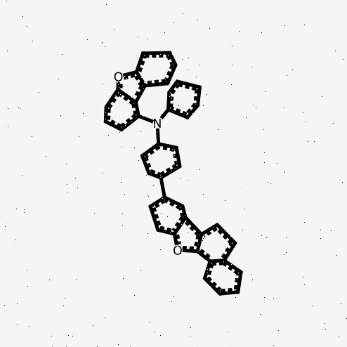 c1ccc(N(c2ccc(-c3ccc4oc5c6ccccc6ccc5c4c3)cc2)c2cccc3oc4ccccc4c23)cc1